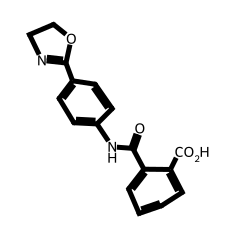 O=C(O)c1ccccc1C(=O)Nc1ccc(C2=NCCO2)cc1